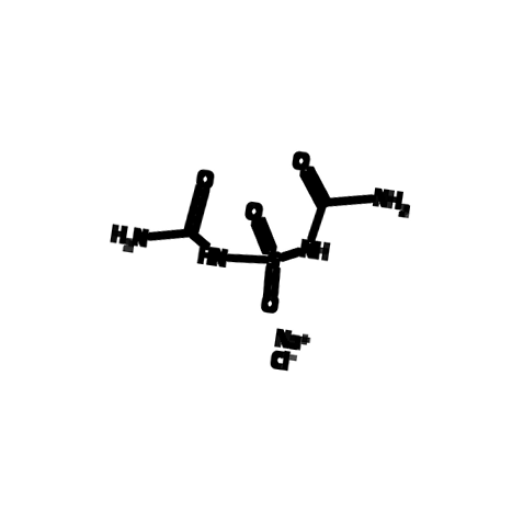 NC(=O)NS(=O)(=O)NC(N)=O.[Cl-].[Na+]